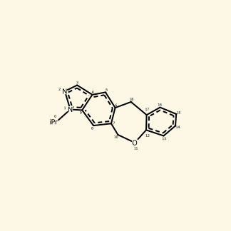 CC(C)n1ncc2cc3c(cc21)COc1ccccc1C3